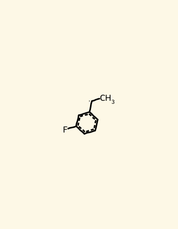 C[CH]c1cccc(F)c1